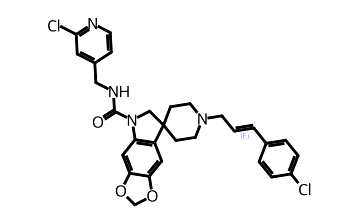 O=C(NCc1ccnc(Cl)c1)N1CC2(CCN(C/C=C/c3ccc(Cl)cc3)CC2)c2cc3c(cc21)OCO3